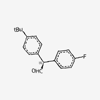 CC(C)(C)c1ccc([C@H](C=O)c2ccc(F)cc2)cc1